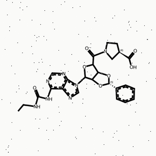 CCNC(=O)Nc1ncnc2c1ncn2C1OC(C(=O)N2CC[C@@H](C(=O)O)C2)C2O[C@H](c3ccccc3)OC21